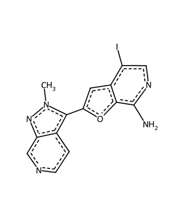 Cn1nc2cnccc2c1-c1cc2c(I)cnc(N)c2o1